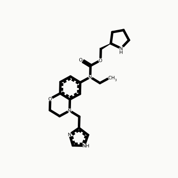 CCN(C(=O)OC[C@H]1CCCN1)c1ccc2c(c1)N(Cc1c[nH]cn1)CCO2